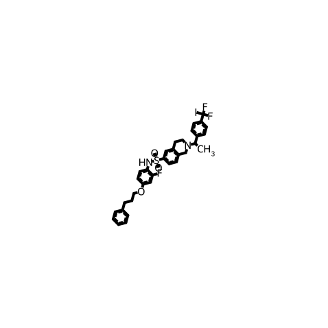 CC(c1ccc(C(F)(F)I)cc1)N1CCc2cc(S(=O)(=O)Nc3ccc(OCCCc4ccccc4)cc3F)ccc2C1